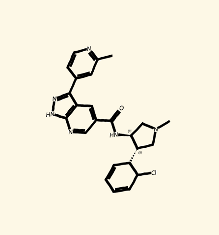 Cc1cc(-c2n[nH]c3ncc(C(=O)N[C@H]4CN(C)C[C@@H]4C4C=CC=CC4Cl)cc23)ccn1